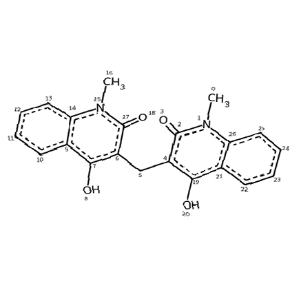 Cn1c(=O)c(Cc2c(O)c3ccccc3n(C)c2=O)c(O)c2ccccc21